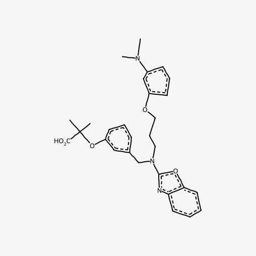 CN(C)c1cccc(OCCCN(Cc2cccc(OC(C)(C)C(=O)O)c2)c2nc3ccccc3o2)c1